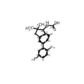 CC1(C)Cc2cc(-c3cc(F)ccc3F)ccc2C1NC(=O)O